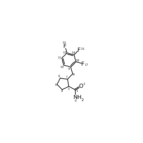 NC(=O)C1CCCC1Cc1ccc(F)c(F)c1F